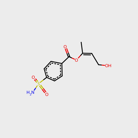 C/C(=C/CO)OC(=O)c1ccc(S(N)(=O)=O)cc1